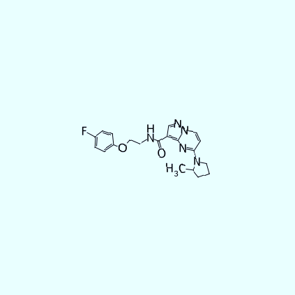 CC1CCCN1c1ccn2ncc(C(=O)NCCOc3ccc(F)cc3)c2n1